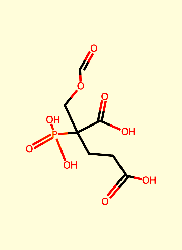 O=COCC(CCC(=O)O)(C(=O)O)P(=O)(O)O